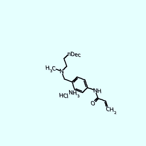 C=CC(=O)Nc1ccc(CN(C)CCCCCCCCCCCC)cc1.Cl.N